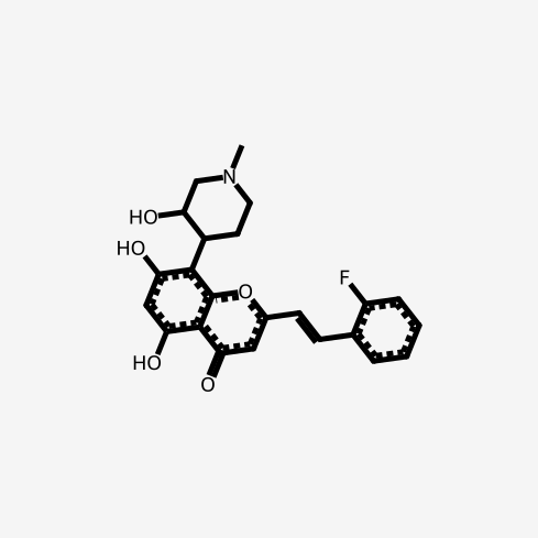 CN1CCC(c2c(O)cc(O)c3c(=O)cc(/C=C/c4ccccc4F)oc23)C(O)C1